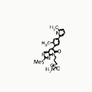 CSc1ncc2cc(-c3ccc(-c4cccc(C)n4)cc3C)c(=O)n(CCCS(N)(=O)=O)c2n1